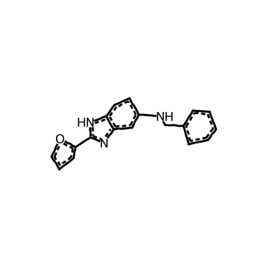 c1ccc(CNc2ccc3[nH]c(-c4ccco4)nc3c2)cc1